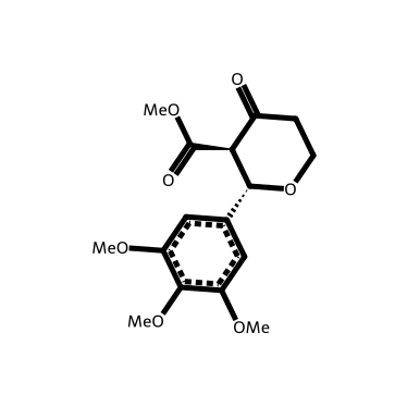 COC(=O)[C@H]1C(=O)CCO[C@@H]1c1cc(OC)c(OC)c(OC)c1